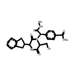 COC(=O)c1ccc(C(C(=O)NC(C)(C)C)N2C(=O)C(C3Cc4ccccc4C3)NC(=O)C2CC(C)C)cc1